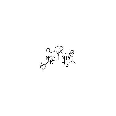 CCC(NC(=O)C(N)CS(=O)(=O)CC(C)C)C(=O)c1nc(-c2cccs2)no1